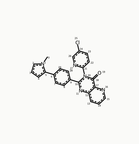 Cn1cccc1-c1ccc(-c2nc3cccnc3c(=O)n2-c2ccc(Cl)cn2)cc1